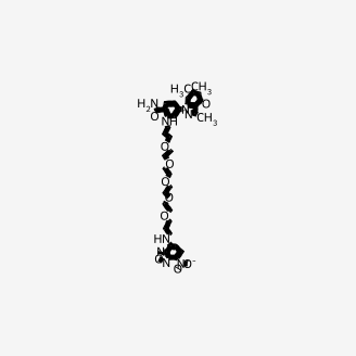 Cc1nn(-c2ccc(C(N)=O)c(NCCCOCCOCCOCCOCCOCCCNc3ccc([N+](=O)[O-])c4nonc34)c2)c2c1C(=O)CC(C)(C)C2